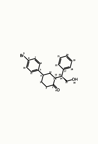 O=C1CCC(c2ccc(Br)cc2)CN1[C@H](CO)c1ccccc1